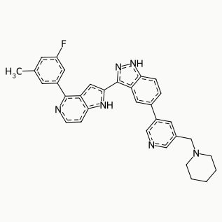 Cc1cc(F)cc(-c2nccc3[nH]c(-c4n[nH]c5ccc(-c6cncc(CN7CCCCC7)c6)cc45)cc23)c1